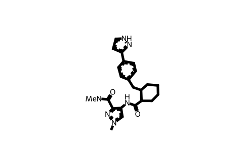 CNC(=O)c1nn(C)cc1NC(=O)C1CCCCC1Cc1ccc(-c2cc[nH]n2)cc1